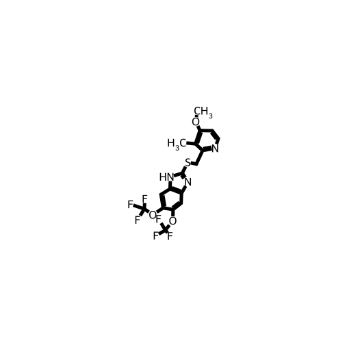 COc1ccnc(CSc2nc3cc(OC(F)(F)F)c(OC(F)(F)F)cc3[nH]2)c1C